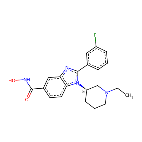 CCN1CCC[C@@H](n2c(-c3cccc(F)c3)nc3cc(C(=O)NO)ccc32)C1